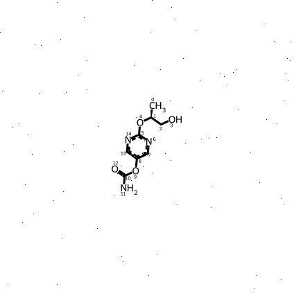 C[C@@H](CO)Oc1ncc(OC(N)=O)cn1